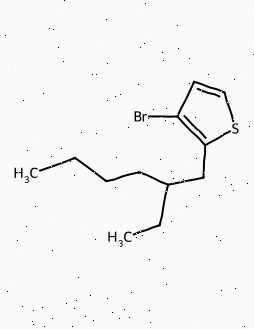 CCCCC(CC)Cc1sccc1Br